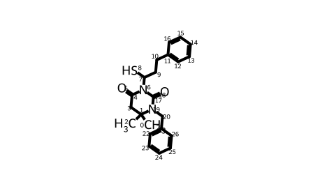 CC1(C)CC(=O)N(C(S)CCc2ccccc2)C(=O)N1Cc1ccccc1